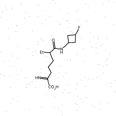 CCC(CCCC(=N)C(=O)O)C(=O)NC1CC(F)C1